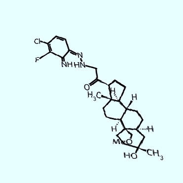 COC[C@]12CC[C@@](C)(O)C[C@@H]1CC[C@H]1[C@@H]3CC[C@H](C(=O)CN/N=C4/C=CC(Cl)=C(F)C4=N)[C@@]3(C)CC[C@@H]12